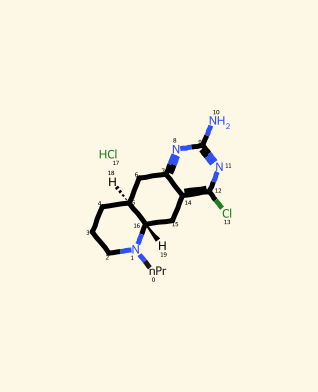 CCCN1CCC[C@H]2Cc3nc(N)nc(Cl)c3C[C@@H]21.Cl